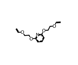 C=COCCOc1cccc(OCCOC=C)n1